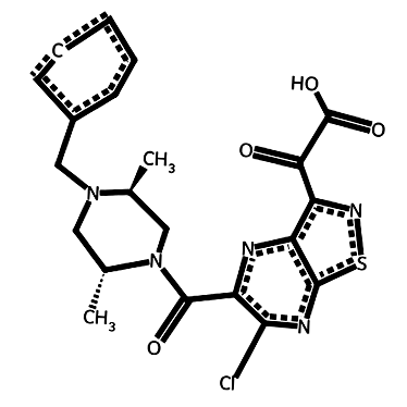 C[C@@H]1CN(Cc2ccccc2)[C@@H](C)CN1C(=O)c1nc2c(C(=O)C(=O)O)nsc2nc1Cl